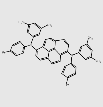 Cc1cc(C)cc(N(c2ccc(C(C)C)cc2)c2ccc3ccc4c(N(c5ccc(C(C)C)cc5)c5cc(C)cc(C)c5)ccc5ccc2c3c54)c1